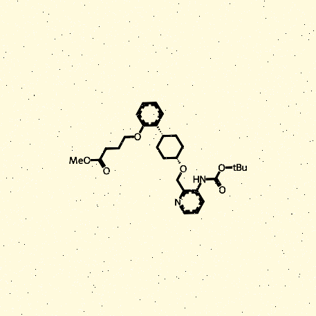 COC(=O)CCCOc1ccccc1[C@H]1CC[C@@H](OCc2ncccc2NC(=O)OC(C)(C)C)CC1